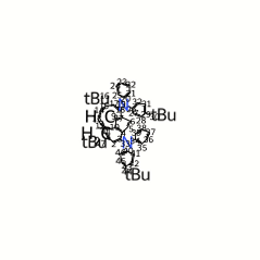 C=C(/C=C(\c1ccc2c(C)c1/C=C\C=C=C(C(C)(C)C)/C=C\2N(c1ccccc1)c1ccc(C(C)(C)C)cc1)N(c1ccccc1)c1ccc(C(C)(C)C)cc1)C(C)(C)C